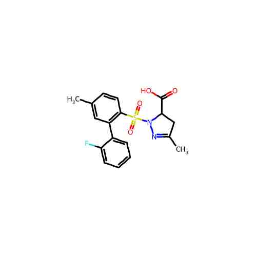 CC1=NN(S(=O)(=O)c2ccc(C)cc2-c2ccccc2F)C(C(=O)O)C1